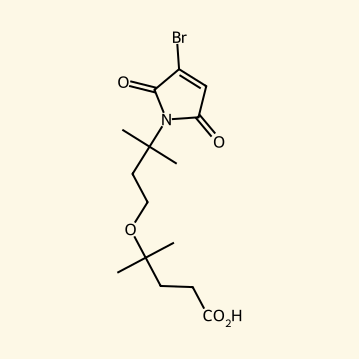 CC(C)(CCC(=O)O)OCCC(C)(C)N1C(=O)C=C(Br)C1=O